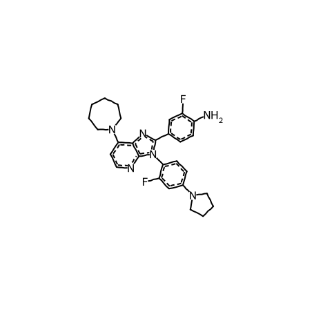 Nc1ccc(-c2nc3c(N4CCCCCC4)ccnc3n2-c2ccc(N3CCCC3)cc2F)cc1F